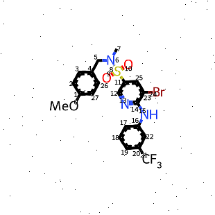 COc1ccc(CN(C)S(=O)(=O)c2cnc(Nc3cccc(C(F)(F)F)c3)c(Br)c2)cc1